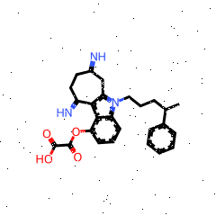 CC(CCCn1c2c(c3c(OC(=O)C(=O)O)cccc31)C(=N)CCC(=N)C2)c1ccccc1